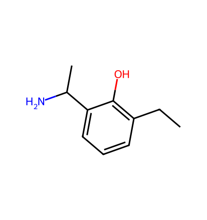 CCc1cccc(C(C)N)c1O